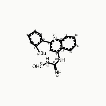 CCC(C)c1ccccc1-c1cc(NC(=N)NC=O)c2ccccc2n1